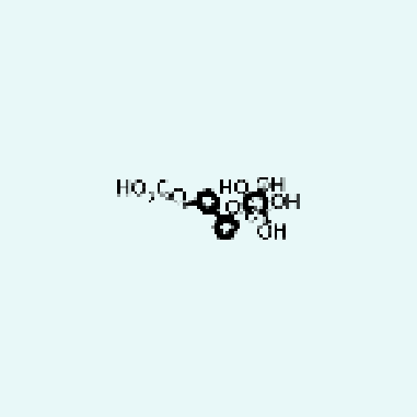 O=C(O)COCc1cccc(-c2ccccc2O[C@H]2O[C@H](CO)[C@@H](O)[C@H](O)[C@@H]2O)c1